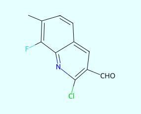 Cc1ccc2cc(C=O)c(Cl)nc2c1F